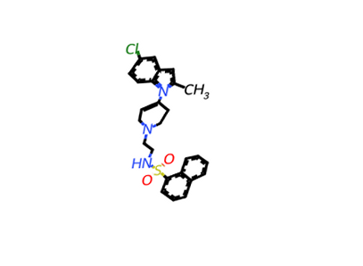 Cc1cc2cc(Cl)ccc2n1C1=CCN(CCNS(=O)(=O)c2cccc3ccccc23)CC1